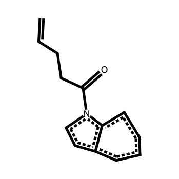 C=CCCC(=O)n1ccc2ccccc21